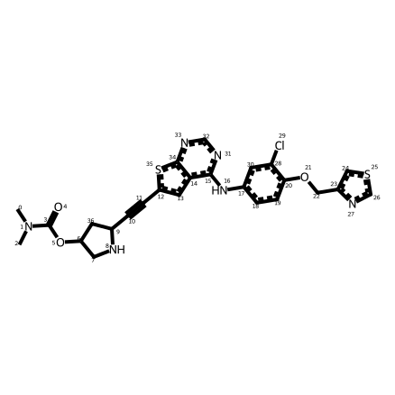 CN(C)C(=O)OC1CNC(C#Cc2cc3c(Nc4ccc(OCc5cscn5)c(Cl)c4)ncnc3s2)C1